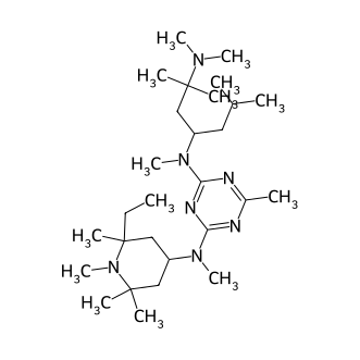 CCC1(C)CC(N(C)c2nc(C)nc(N(C)C(CC(C)C)CC(C)(C)N(C)C)n2)CC(C)(C)N1C